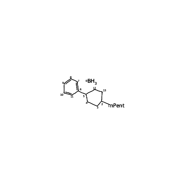 B.CCCCCC1CCC(c2ccccc2)CC1